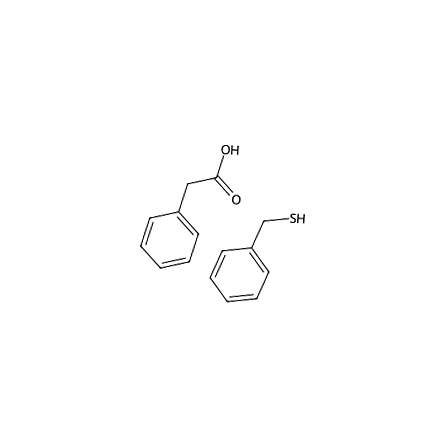 O=C(O)Cc1ccccc1.SCc1ccccc1